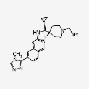 CC(C)CN1CCC(F)(C(Nc2cc3cc(-c4nncn4C)ccc3cn2)=C2CC2)CC1